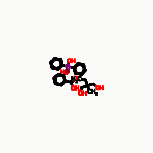 CCC(C)(CO)CO.O=C(O)c1ccccc1.O[PH](O)(c1ccccc1)c1ccccc1